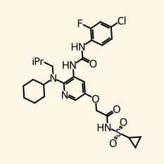 CC(C)CN(c1ncc(OCC(=O)NS(=O)(=O)C2CC2)cc1NC(=O)Nc1ccc(Cl)cc1F)C1CCCCC1